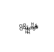 O=C(Nc1ccc(NC(=S)Nc2cc(Cl)c(Cl)c(Cl)c2)cc1)c1csnn1